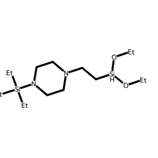 CCO[SiH](CCN1CCN([Si](CC)(CC)CC)CC1)OCC